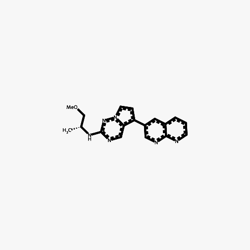 COC[C@@H](C)Nc1ncc2c(-c3cnc4ncccc4c3)ccn2n1